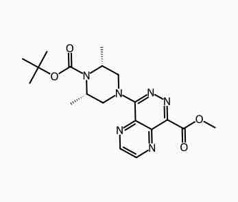 COC(=O)c1nnc(N2C[C@@H](C)N(C(=O)OC(C)(C)C)[C@@H](C)C2)c2nccnc12